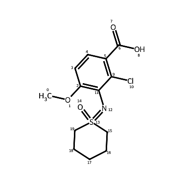 COc1ccc(C(=O)O)c(Cl)c1N=S1(=O)CCCCC1